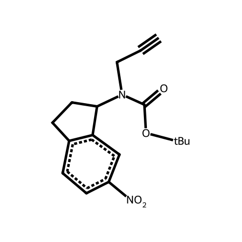 C#CCN(C(=O)OC(C)(C)C)C1CCc2ccc([N+](=O)[O-])cc21